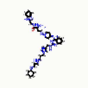 NC(CCNN1CCC(Nc2nc(NCc3cn(CCCNCCCNC4CCCCC4)nn3)nc3ccccc23)CC1)C(=O)NCc1nc2ccccc2[nH]1